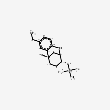 CC(C)(C)[Si](C)(C)O[C@@H]1CO[C@H]2CC1Nc1ccc(CN)cc12